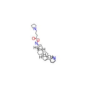 C[C@]12CCC(=NOC(=O)CCCN3CCCC3)C=C1CC[C@H]1[C@@H]2CC[C@]2(C)C(c3cccnc3)=CC[C@@H]12